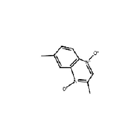 Cc1ccc2c(c1)[n+]([O-])c(C)c[n+]2[O-]